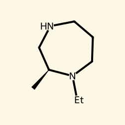 CCN1CCCNC[C@@H]1C